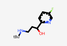 CC(C)(C)NCCC(O)c1ccc(F)cn1